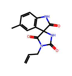 C=CCN1C(=O)NC2(C(=O)Nc3ccc(C)cc32)C1=O